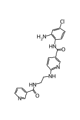 Nc1cc(Cl)ccc1NC(=O)c1ccc(NCCNC(=O)c2cccnc2)nc1